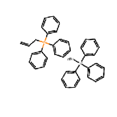 C=CC[P+](c1ccccc1)(c1ccccc1)c1ccccc1.CCCC[B-](c1ccccc1)(c1ccccc1)c1ccccc1